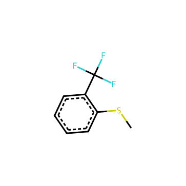 CSc1ccccc1C(F)(F)F